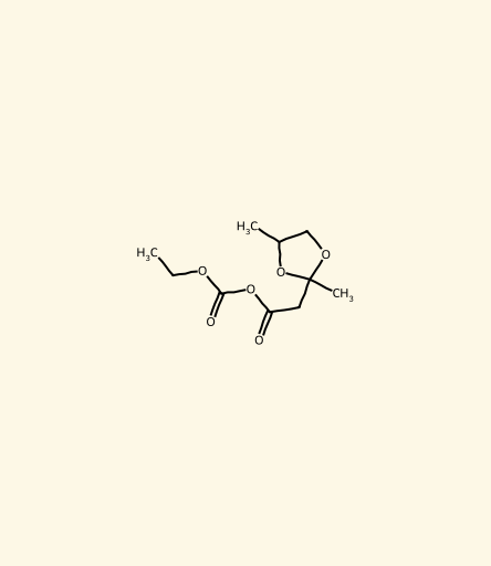 CCOC(=O)OC(=O)CC1(C)OCC(C)O1